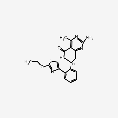 CCOc1nc(-c2ccccc2[C@H]2Cc3nc(N)nc(C)c3C(=O)N2)cs1